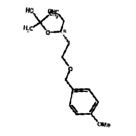 COc1ccc(COCC[C@@H](CC=O)OC(C)(C)O)cc1